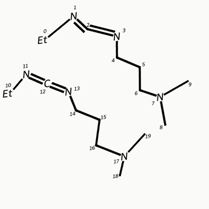 CCN=C=NCCCN(C)C.CCN=C=NCCCN(C)C